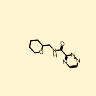 O=C(NCC1CCCCO1)c1nccnn1